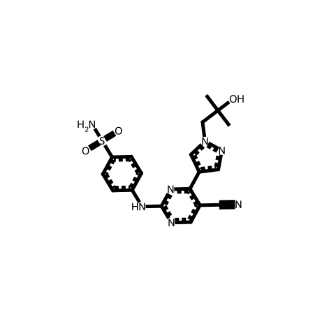 CC(C)(O)Cn1cc(-c2nc(Nc3ccc(S(N)(=O)=O)cc3)ncc2C#N)cn1